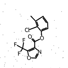 Cc1cccc(OC(=O)c2ncoc2C(F)(F)F)c1Cl